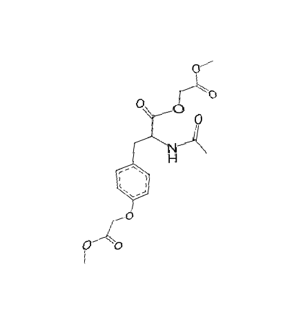 COC(=O)COC(=O)C(Cc1ccc(OCC(=O)OC)cc1)NC(C)=O